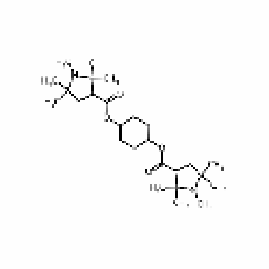 CN1C(C)(C)CC(C(=O)OC2CCC(OC(=O)C3CC(C)(C)N(C)C3(C)C)CC2)C1(C)C